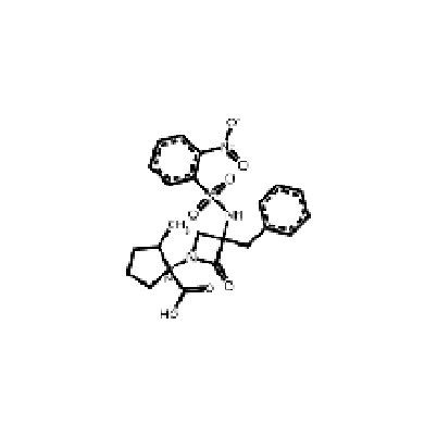 CC1CCC[C@]1(C(=O)O)N1CC(Cc2ccccc2)(NS(=O)(=O)c2ccccc2[N+](=O)[O-])C1=O